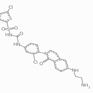 NCCNc1ccc2c(=O)n(-c3ccc(NC(=O)NS(=O)(=O)c4ccc(Cl)s4)cc3Cl)ccc2c1